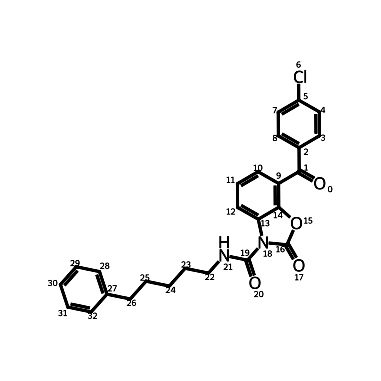 O=C(c1ccc(Cl)cc1)c1cccc2c1oc(=O)n2C(=O)NCCCCCc1ccccc1